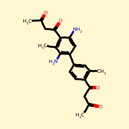 CC(=O)CC(=O)c1ccc(-c2cc(N)c(C(=O)CC(C)=O)c(C)c2N)cc1C